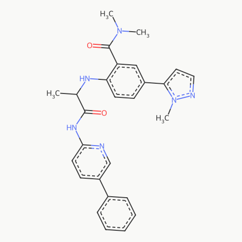 CC(Nc1ccc(-c2ccnn2C)cc1C(=O)N(C)C)C(=O)Nc1ccc(-c2ccccc2)cn1